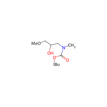 COCC(O)CN(C)C(=O)OC(C)(C)C